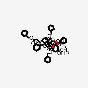 C[C@@]1(O)CCC2(C(=O)OCc3ccccc3)C3(C(=O)OCc4ccccc4)CC[C@]4(C)[C@@H](C(=O)CC(=O)OCc5ccccc5)CCC4(C(=O)OCc4ccccc4)C3(C(=O)OCc3ccccc3)C[C@@H](O)[C@]2(C)C1